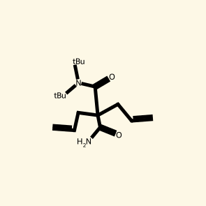 C=CCC(CC=C)(C(N)=O)C(=O)N(C(C)(C)C)C(C)(C)C